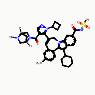 CCN1C[C@@H]2C[C@H]1CN2C(=O)c1cnn(C2CCC2)c1C1=Cc2cc(OC)ccc2-c2c(C3CCCCC3)c3ccc(C(=O)NS(=O)(=O)C(C)C)cc3n2C1